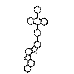 c1ccc(-c2c3ccccc3c(-c3ccc(-c4ccc5sc6c(ccc7sc8c9ccccc9ccc8c76)c5c4)cc3)c3ccccc23)cc1